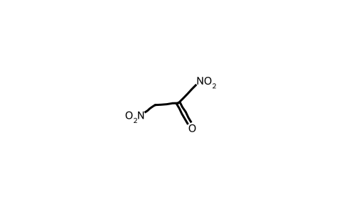 O=C(C[N+](=O)[O-])[N+](=O)[O-]